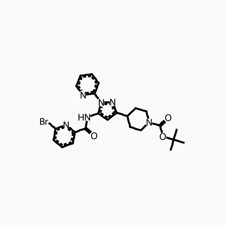 CC(C)(C)OC(=O)N1CCC(c2cc(NC(=O)c3cccc(Br)n3)n(-c3ccccn3)n2)CC1